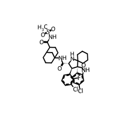 CS(=O)(=O)NC(=O)C1CCC2(NC(=O)[C@@H]3NC4(CCCCC4)[C@@]4(C(=O)Nc5cc(Cl)ccc54)[C@H]3c3cccc(Cl)c3F)CCCC1C2